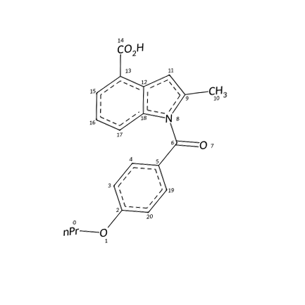 CCCOc1ccc(C(=O)n2c(C)cc3c(C(=O)O)cccc32)cc1